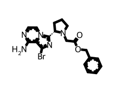 Nc1nccn2c([C@@H]3CCCN3CC(=O)OCc3ccccc3)nc(Br)c12